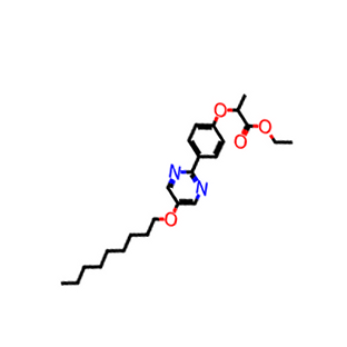 CCCCCCCCCOc1cnc(-c2ccc(OC(C)C(=O)OCC)cc2)nc1